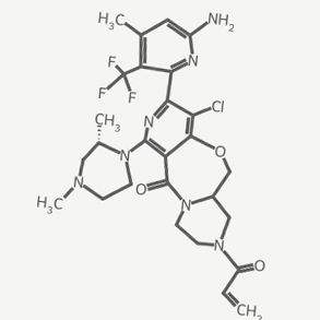 C=CC(=O)N1CCN2C(=O)c3c(N4CCN(C)C[C@@H]4C)nc(-c4nc(N)cc(C)c4C(F)(F)F)c(Cl)c3OCC2C1